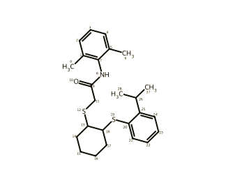 Cc1cccc(C)c1NC(=O)CSC1CCCCC1Sc1ccccc1C(C)C